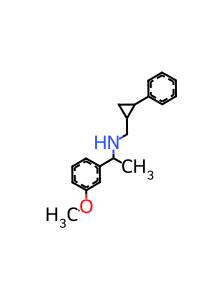 COc1cccc(C(C)NCC2CC2c2ccccc2)c1